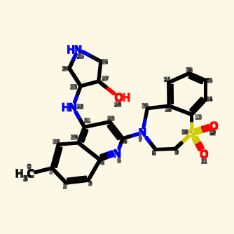 Cc1ccc2nc(N3CCS(=O)(=O)c4ccccc4C3)cc(NC3CNCC3O)c2c1